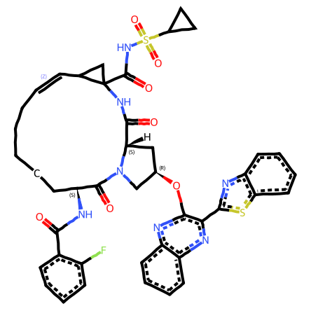 O=C(N[C@H]1CCCCC/C=C\C2CC2(C(=O)NS(=O)(=O)C2CC2)NC(=O)[C@@H]2C[C@@H](Oc3nc4ccccc4nc3-c3nc4ccccc4s3)CN2C1=O)c1ccccc1F